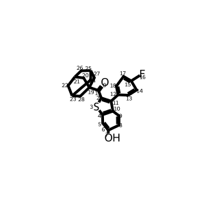 O=C(c1sc2cc(O)ccc2c1-c1ccc(F)cc1)C12CC3CC(CC(C3)C1)C2